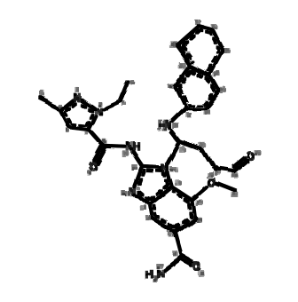 CCn1nc(C)cc1C(=O)Nc1nc2cc(C(N)=O)cc(OC)c2n1C(CCC=O)Nc1ccc2ccccc2c1